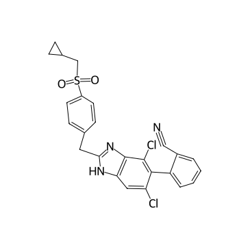 N#Cc1ccccc1-c1c(Cl)cc2[nH]c(Cc3ccc(S(=O)(=O)CC4CC4)cc3)nc2c1Cl